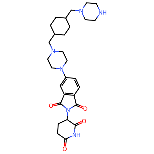 O=C1CCC(N2C(=O)c3ccc(N4CCN(CC5CCC(CN6CCNCC6)CC5)CC4)cc3C2=O)C(=O)N1